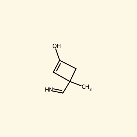 CC1(C=N)C=C(O)C1